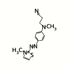 CN(CCC#N)c1ccc(N=Nc2scc[n+]2C)cc1